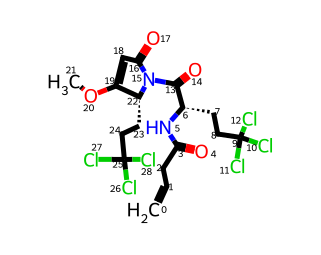 C=CCC(=O)N[C@@H](CCC(Cl)(Cl)Cl)C(=O)N1C(=O)C=C(OC)[C@H]1CCC(Cl)(Cl)Cl